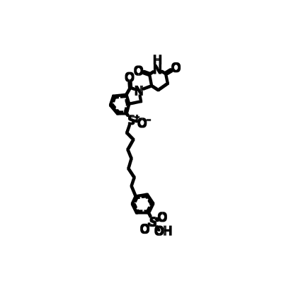 O=C1CCC(N2Cc3c(cccc3[S+]([O-])CCCCCCCc3ccc(S(=O)(=O)O)cc3)C2=O)C(=O)N1